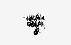 CCC(NC(=O)[C@@H]1[C@@H]2[C@H](CN1C(=O)[C@@H](NC(=O)N[C@H](CN1Cc3ccccc3C1=O)C(C)(C)C)C1CCCCC1)C2(C)C)C(=O)C(=O)NC1CC1